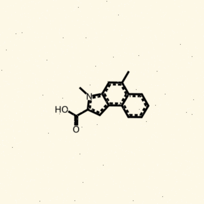 Cc1cc2c(cc(C(=O)O)n2C)c2ccccc12